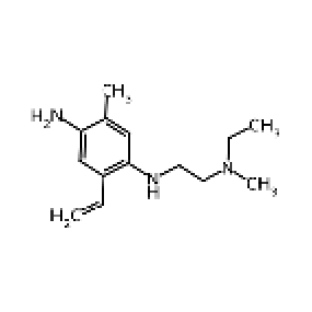 C=Cc1cc(N)c(C)cc1NCCN(C)CC